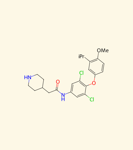 COc1ccc(Oc2c(Cl)cc(NC(=O)CC3CCNCC3)cc2Cl)cc1C(C)C